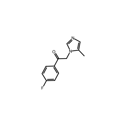 Cc1cncn1CC(=O)c1ccc(F)cc1